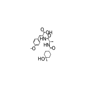 COc1ccc(C[C@H](NC(=O)[C@@H](C)NC(=O)[C@H]2CC[C@@](C)(O)CC2)C(=O)O)cc1